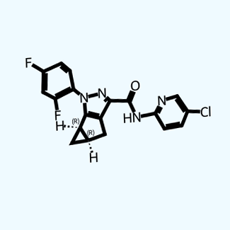 O=C(Nc1ccc(Cl)cn1)c1nn(-c2ccc(F)cc2F)c2c1C[C@H]1C[C@@H]21